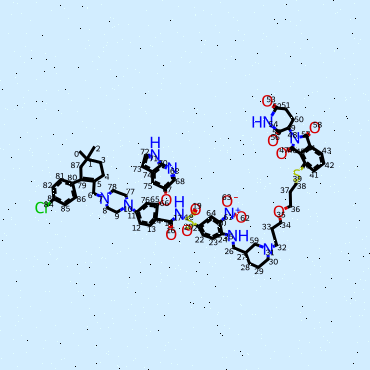 CC1(C)CCC(CN2CCN(c3ccc(C(=O)NS(=O)(=O)c4ccc(NCC5CCCN(CCCOCCCSc6cccc7c6C(=O)N(C6CCC(=O)NC6=O)C7=O)C5)c([N+](=O)[O-])c4)c(Oc4cnc5[nH]ccc5c4)c3)CC2)=C(c2ccc(Cl)cc2)C1